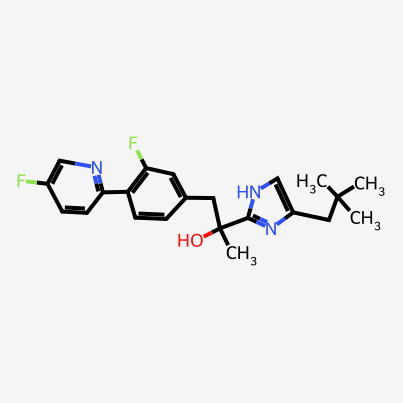 CC(C)(C)Cc1c[nH]c(C(C)(O)Cc2ccc(-c3ccc(F)cn3)c(F)c2)n1